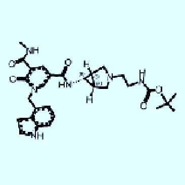 CNC(=O)c1cc(C(=O)N[C@@H]2[C@@H]3CN(CCNC(=O)OC(C)(C)C)C[C@@H]32)cn(Cc2cccc3[nH]ccc23)c1=O